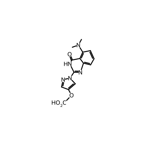 CN(C)c1cccc2nc(-n3cc(OC(=O)O)cn3)[nH]c(=O)c12